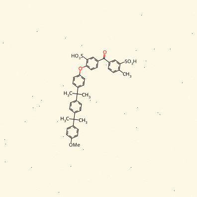 COc1ccc(C(C)(C)c2ccc(C(C)(C)c3ccc(Oc4ccc(C(=O)c5ccc(C)c(S(=O)(=O)O)c5)cc4S(=O)(=O)O)cc3)cc2)cc1